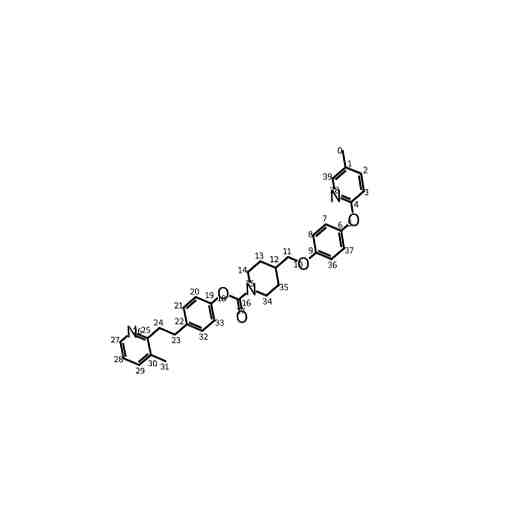 Cc1ccc(Oc2ccc(OCC3CCN(C(=O)Oc4ccc(CCc5ncccc5C)cc4)CC3)cc2)nc1